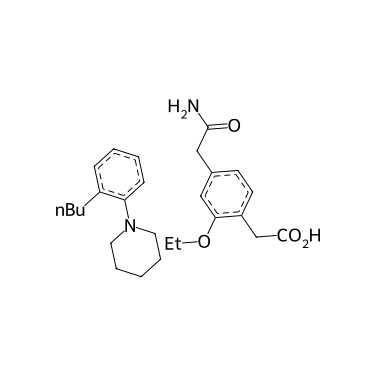 CCCCc1ccccc1N1CCCCC1.CCOc1cc(CC(N)=O)ccc1CC(=O)O